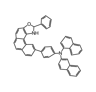 c1ccc(C2Nc3c(ccc4ccc5ccc(-c6ccc(N(c7ccc8ccccc8c7)c7cccc8ccccc78)cc6)cc5c34)O2)cc1